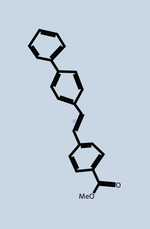 COC(=O)c1ccc(/C=C/c2ccc(-c3ccccc3)cc2)cc1